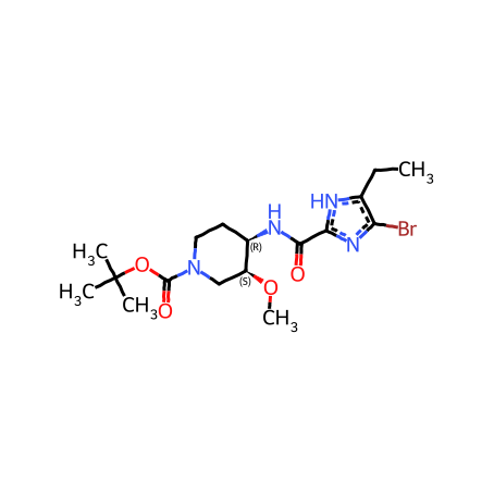 CCc1[nH]c(C(=O)N[C@@H]2CCN(C(=O)OC(C)(C)C)C[C@@H]2OC)nc1Br